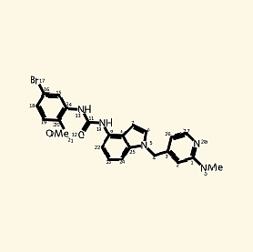 CNc1cc(Cn2ccc3c(NC(=O)Nc4cc(Br)ccc4OC)cccc32)ccn1